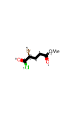 COC(=O)CC[C@H](Br)C(=O)Cl